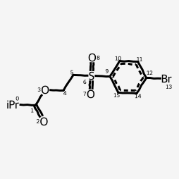 CC(C)C(=O)OCCS(=O)(=O)c1ccc(Br)cc1